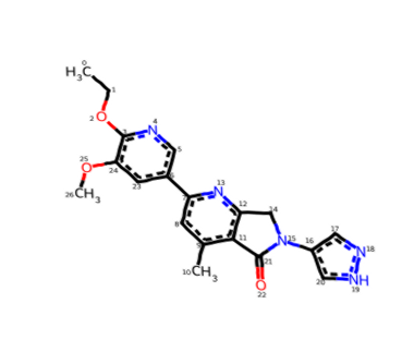 CCOc1ncc(-c2cc(C)c3c(n2)CN(c2cn[nH]c2)C3=O)cc1OC